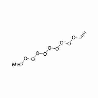 C=COOOOOOOOOOC